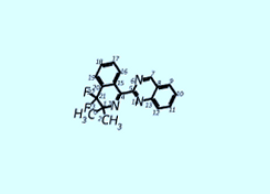 CC1(C)N=C(c2ncc3ccccc3n2)c2ccccc2C1(F)F